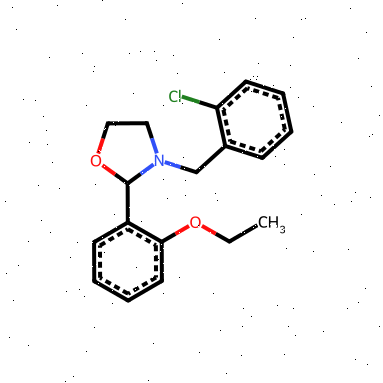 CCOc1ccccc1C1OCCN1Cc1ccccc1Cl